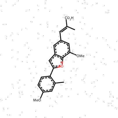 COc1ccc(-c2cc3cc(C=C(C)C(=O)O)cc(OC)c3o2)c(C)c1